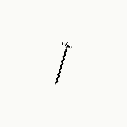 CC(=O)OCCCCCCCCCCCC=CCCI